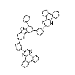 c1ccc(-c2cc(-c3cccc(-c4cnc5c6ccccc6c6ccccc6c5n4)c3)cc3c2oc2ccc(-c4cccc(-c5cnc6c7ccccc7c7ccccc7c6n5)c4)cc23)cc1